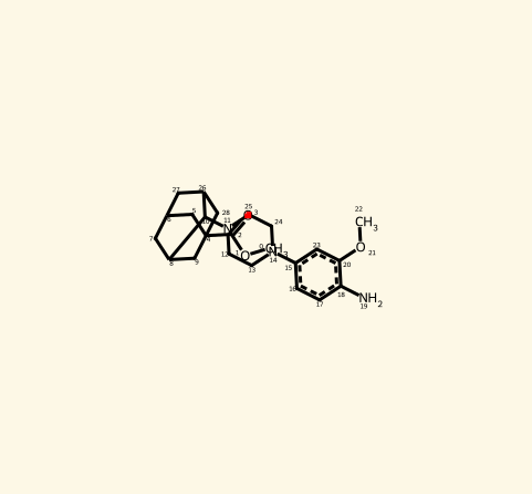 COC(=O)C12CC3CC(C1)C(N1CCN(c4ccc(N)c(OC)c4)CC1)C(C3)C2